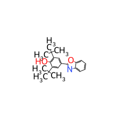 CC(C)(C)c1cc(-c2nc3ccccc3o2)cc(C(C)(C)C)c1O